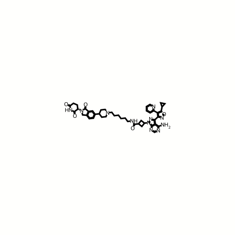 Nc1ncnc2c1c(-c1noc(C3CC3)c1-c1ccccn1)nn2C1CC(C(=O)NCCCCCCN2CCC(c3ccc4c(c3)C(=O)N([C@@H]3CCC(=O)NC3=O)C4)CC2)C1